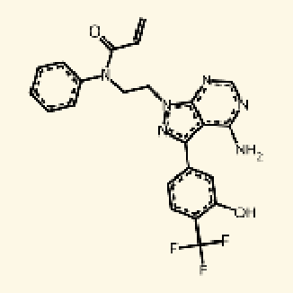 C=CC(=O)N(CCn1nc(-c2ccc(C(F)(F)F)c(O)c2)c2c(N)ncnc21)c1ccccc1